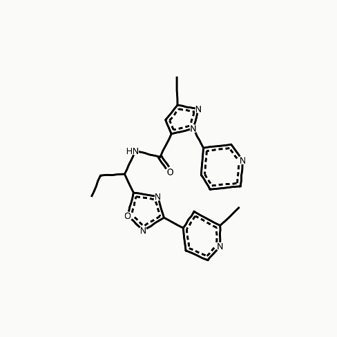 CCC(NC(=O)c1cc(C)nn1-c1cccnc1)c1nc(-c2ccnc(C)c2)no1